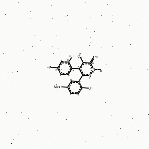 COc1ccc(Cl)c(-c2nn(C)c(=O)c(Cl)c2-c2ccc(F)cc2Cl)c1